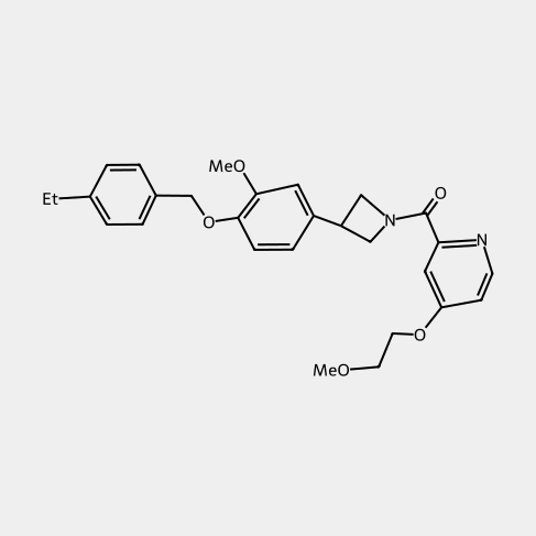 CCc1ccc(COc2ccc(C3CN(C(=O)c4cc(OCCOC)ccn4)C3)cc2OC)cc1